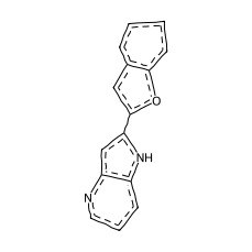 c1ccc2oc(-c3cc4ncccc4[nH]3)cc2c1